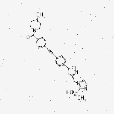 C[C@H](O)c1nccn1Cc1cc(-c2ccc(C#Cc3ccc(C(=O)N4CCN(C)CC4)cc3)cc2)on1